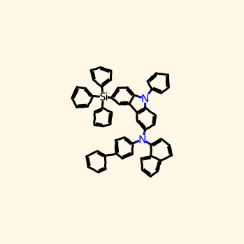 c1ccc(-c2ccc(N(c3ccc4c(c3)c3cc([Si](c5ccccc5)(c5ccccc5)c5ccccc5)ccc3n4-c3ccccc3)c3cccc4ccccc34)cc2)cc1